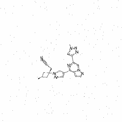 Cn1cc(-c2cn3nccc3c(-c3cnn([C@]4(CC#N)C[C@@H](C)C4)c3)n2)nn1